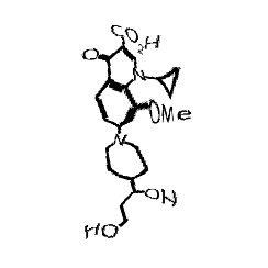 COc1c(N2CCC(C(O)CCO)CC2)ccc2c(=O)c(C(=O)O)cn(C3CC3)c12